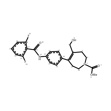 COC(=O)N1CCC(CO)=C(c2ccc(NC(=O)c3c(F)cccc3F)cc2)CC1